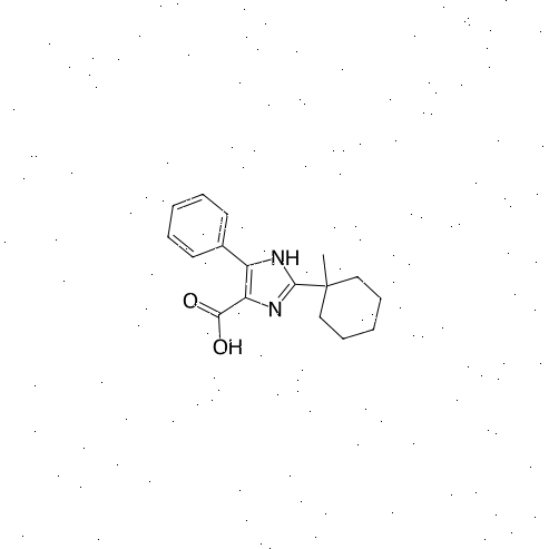 CC1(c2nc(C(=O)O)c(-c3ccccc3)[nH]2)CCCCC1